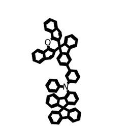 c1ccc(N(c2cccc(-c3ccc4c(c3)-c3ccccc3C43c4ccc5ccccc5c4Oc4c3ccc3ccccc43)c2)c2cccc3c2-c2ccccc2C32c3ccccc3-c3ccccc32)cc1